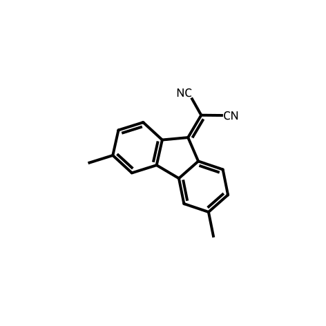 Cc1ccc2c(c1)-c1cc(C)ccc1C2=C(C#N)C#N